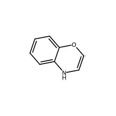 [C]1=CNc2ccccc2O1